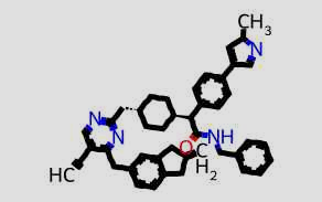 C#Cc1cnc(C[C@H]2CC[C@H](C(C(=O)NCc3ccccc3)c3ccc(C4=CC(C)N=C4)cc3)CC2)nc1Cc1ccc2c(c1)CC(=C)C2